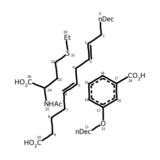 CCCCCCCCCCCC=CCC=CCCCC(=O)O.CCCCCCCCCCOc1cccc(C(=O)O)c1.CCSCCC(NC(C)=O)C(=O)O